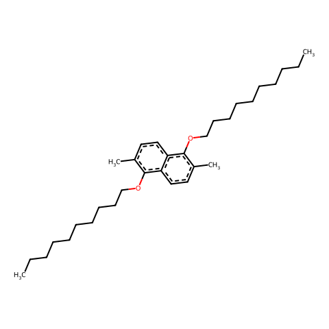 CCCCCCCCCCOc1c(C)ccc2c(OCCCCCCCCCC)c(C)ccc12